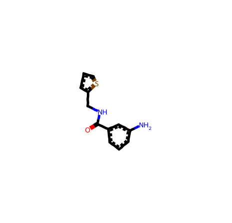 Nc1cccc(C(=O)NCc2cccs2)c1